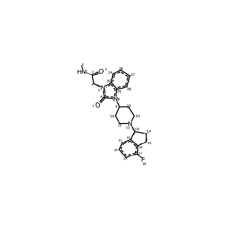 CNC(=O)Cn1c(=O)n(C2CCN(C3CCc4c(F)cccc43)CC2)c2ccccc21